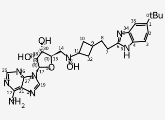 CC(C)(C)c1ccc2[nH]c(CCC3CC(N(O)C[C@H]4O[C@@H](n5cnc6c(N)ncnc65)[C@H](O)[C@@H]4O)C3)nc2c1